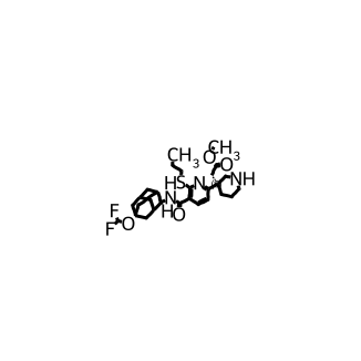 CCCSc1nc([C@]2(CC(=O)OC)CCCNC2)ccc1C(=O)N[C@H]1C2CC3CC1C[C@@](OC(F)F)(C3)C2